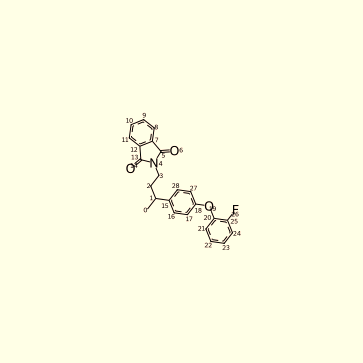 CC(CCN1C(=O)c2ccccc2C1=O)c1ccc(Oc2ccccc2F)cc1